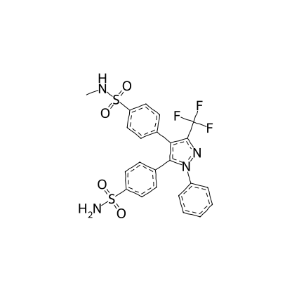 CNS(=O)(=O)c1ccc(-c2c(C(F)(F)F)nn(-c3ccccc3)c2-c2ccc(S(N)(=O)=O)cc2)cc1